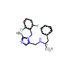 CCCCc1ncc(CN[C@@H](Cc2ccccc2)C(=O)O)n1Cc1c(F)cccc1Cl